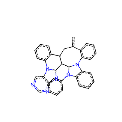 C=C1CC2c3ccccc3N3c4cncnc4N(C)C3C2C2N(c3ccccc3)c3ccccc3N2c2ccccc21